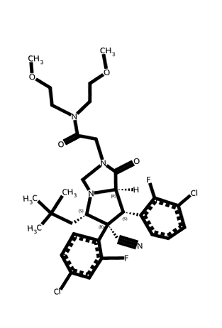 COCCN(CCOC)C(=O)CN1CN2[C@@H](CC(C)(C)C)[C@](C#N)(c3ccc(Cl)cc3F)[C@@H](c3cccc(Cl)c3F)[C@@H]2C1=O